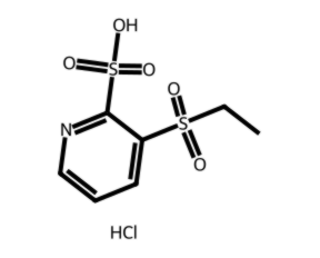 CCS(=O)(=O)c1cccnc1S(=O)(=O)O.Cl